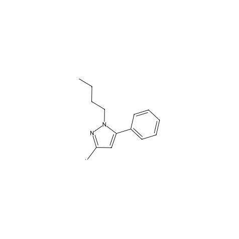 [CH2]c1cc(-c2ccccc2)n(CCCC)n1